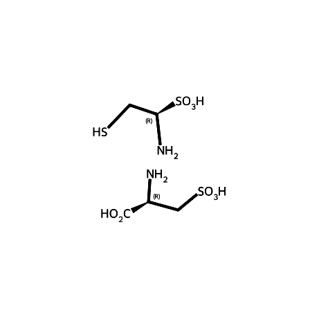 N[C@@H](CS(=O)(=O)O)C(=O)O.N[C@@H](CS)S(=O)(=O)O